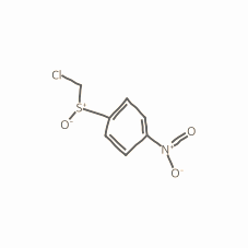 O=[N+]([O-])c1ccc([S+]([O-])CCl)cc1